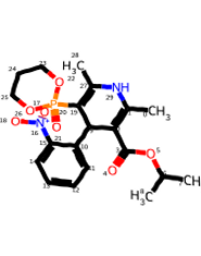 CC1=C(C(=O)OC(C)C)C(c2ccccc2[N+](=O)[O-])C(P2(=O)OCCCO2)=C(C)N1